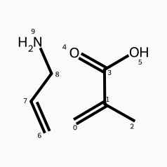 C=C(C)C(=O)O.C=CCN